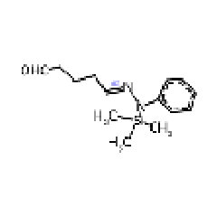 C[Si](C)(C)N(/N=C/CCCC=O)c1ccccc1